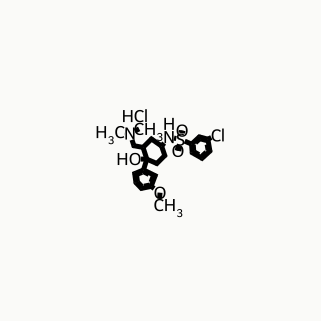 COc1cccc(C2(O)CCC(NS(=O)(=O)c3cccc(Cl)c3)CC2CN(C)C)c1.Cl